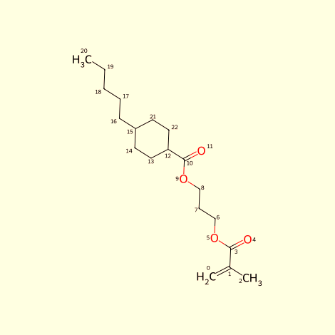 C=C(C)C(=O)OCCCOC(=O)C1CCC(CCCCC)CC1